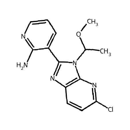 COC(C)n1c(-c2cccnc2N)nc2ccc(Cl)nc21